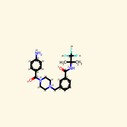 CC(C)(NC(=O)c1cccc(CN2CCN(C(=O)c3ccc(N)cc3)CC2)c1)C(F)(F)F